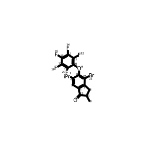 CC1Cc2c(cc(C(C)C)c(Oc3c(F)c(F)c(F)c(F)c3F)c2Br)C1=O